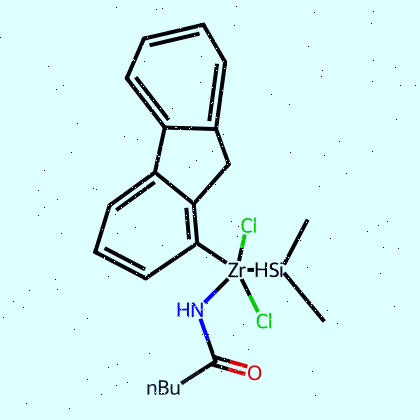 CCCCC(=O)[NH][Zr]([Cl])([Cl])([c]1cccc2c1Cc1ccccc1-2)[SiH](C)C